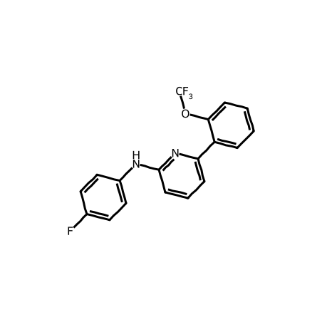 Fc1ccc(Nc2cccc(-c3ccccc3OC(F)(F)F)n2)cc1